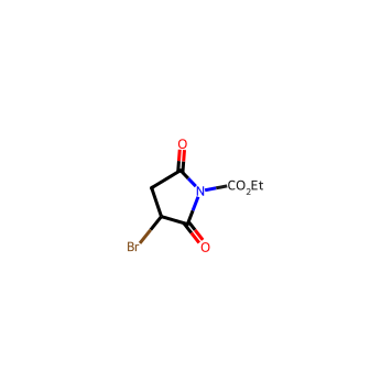 CCOC(=O)N1C(=O)CC(Br)C1=O